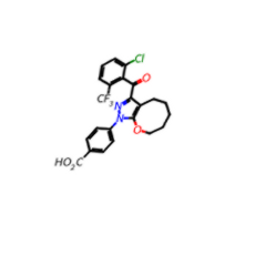 O=C(O)c1ccc(-n2nc(C(=O)c3c(Cl)cccc3C(F)(F)F)c3c2OCCCCC3)cc1